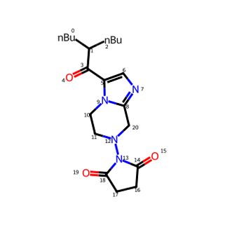 CCCCC(CCCC)C(=O)c1cnc2n1CCN(N1C(=O)CCC1=O)C2